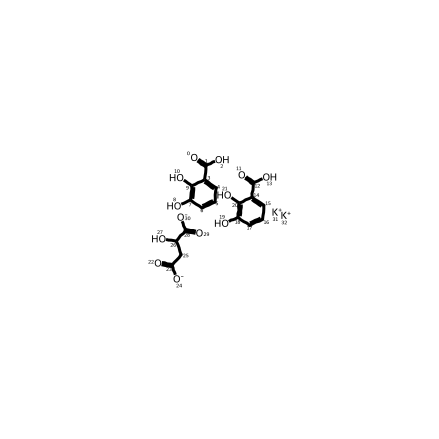 O=C(O)c1cccc(O)c1O.O=C(O)c1cccc(O)c1O.O=C([O-])CC(O)C(=O)[O-].[K+].[K+]